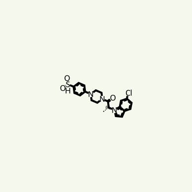 C[C@H](C(=O)N1CCN(c2ccc([SH](=O)=O)cc2)CC1)n1ccc2ccc(Cl)cc21